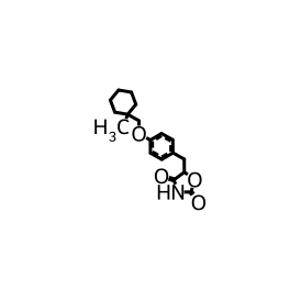 CC1(COc2ccc(CC3OC(=O)NC3=O)cc2)CCCCC1